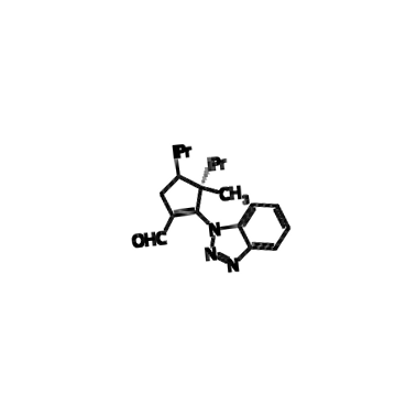 CC(C)C1CC(C=O)=C(n2nnc3ccccc32)[C@@]1(C)C(C)C